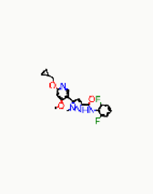 COc1cc(OCC2CC2)ncc1-c1cc(C(=O)Nc2c(F)cccc2F)nn1C